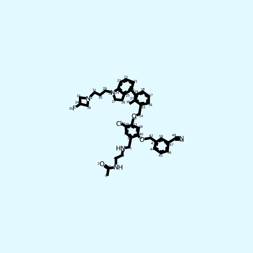 CC(=O)NCCNCc1cc(Cl)c(OCc2cccc(-c3cccc4c3CCN4CCCN3CC(F)C3)c2C)cc1OCc1cccc(C#N)c1